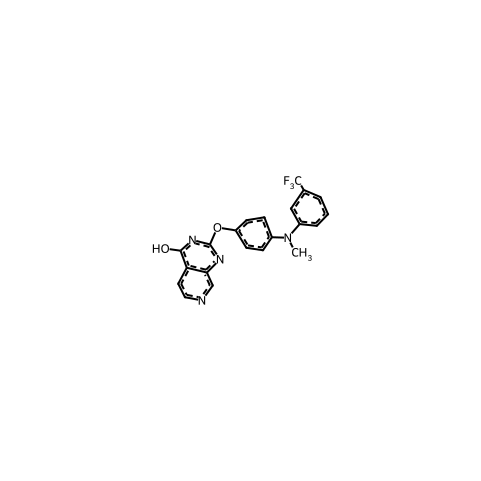 CN(c1ccc(Oc2nc(O)c3ccncc3n2)cc1)c1cccc(C(F)(F)F)c1